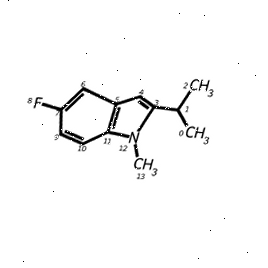 CC(C)c1cc2cc(F)ccc2n1C